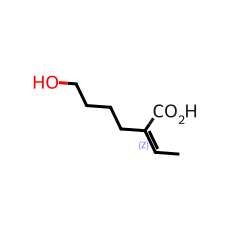 C/C=C(/CCCCO)C(=O)O